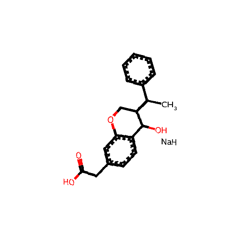 CC(c1ccccc1)C1COc2cc(CC(=O)O)ccc2C1O.[NaH]